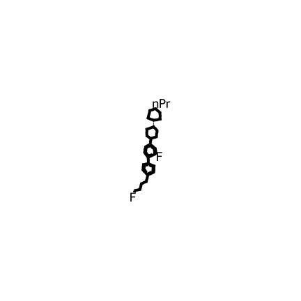 CCC[C@H]1CC[C@H](C2CCC(c3ccc(-c4ccc(CCCCF)cc4)c(F)c3)CC2)CC1